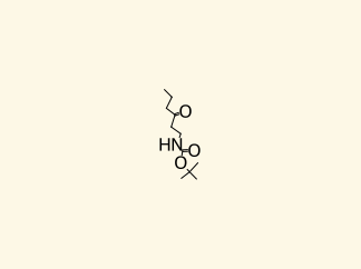 CCCC(=O)CCNC(=O)OC(C)(C)C